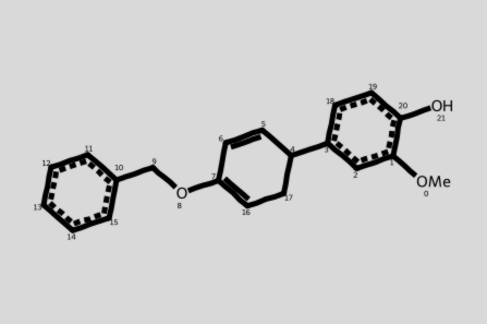 COc1cc(C2C=CC(OCc3ccccc3)=CC2)ccc1O